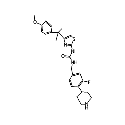 COc1ccc(C(C)(C)c2csc(NC(=O)NCc3ccc(C4CCNCC4)c(F)c3)n2)cc1